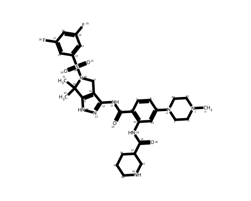 CN1CCN(c2ccc(C(=O)Nc3n[nH]c4c3CN(S(=O)(=O)c3cc(F)cc(F)c3)C4(C)C)c(NC(=O)C3CCCNC3)c2)CC1